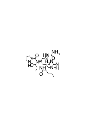 CCCCC(=O)NC(C)C(=O)N(C(=O)[C@@H]1CCCN1)[C@H](C=NNC(N)=O)CCCNC(=N)N